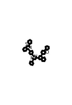 c1ccc(-c2cc(-c3cc(-c4ccc5c(c4)oc4ccccc45)c4ccccc4c3)nc(-c3ccc(-c4nc5c6ccccc6sc5c5ccccc45)cc3)n2)cc1